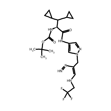 CC(C)(C)OC(=O)N[C@H](C(=O)Nc1cnn(C/C(=C/NCC(F)(F)F)N=N)c1)C(C1CC1)C1CC1